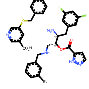 CCc1cccc(CNC[C@@H](OC(=O)c2ccn[nH]2)[C@@H](N)Cc2cc(F)cc(F)c2)c1.O=C(O)c1cncc(SCc2ccccc2)c1